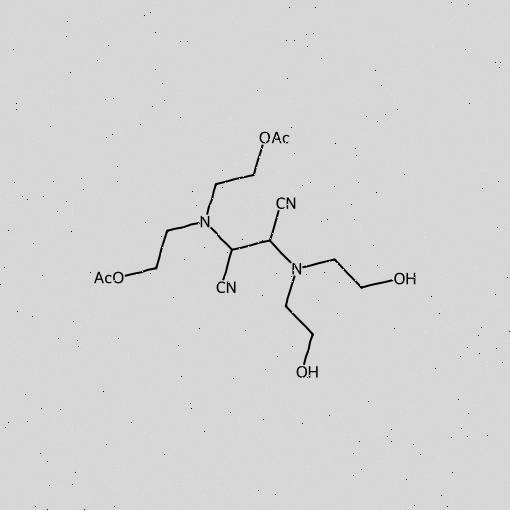 CC(=O)OCCN(CCOC(C)=O)C(C#N)C(C#N)N(CCO)CCO